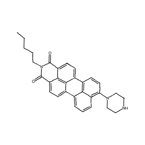 CCCCCN1C(=O)c2ccc3c4cccc5c(N6CCNCC6)ccc(c6ccc(c2c36)C1=O)c54